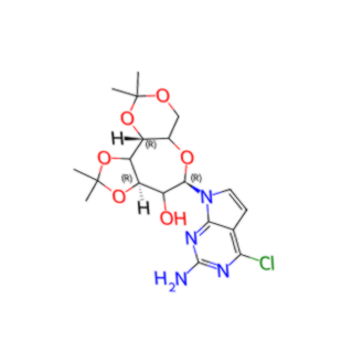 CC1(C)OCC2O[C@@H](n3ccc4c(Cl)nc(N)nc43)C(O)[C@H]3OC(C)(C)OC3[C@@H]2O1